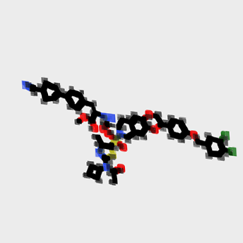 COC(=O)[C@H](Cc1ccc(-c2ccc(C#N)cc2)cc1)NC(=O)[C@@H]1Cc2cc3c(cc2CN1S(=O)(=O)c1sc(N(C(C)=O)C2CCC2)nc1C)OC(c1ccc(OCc2ccc(Cl)c(Cl)c2)cc1)CO3